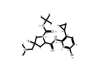 CN(C)CC1(F)CC(C(=O)Nc2nc(Br)ccc2C2CC2)N(C(=O)OC(C)(C)C)C1